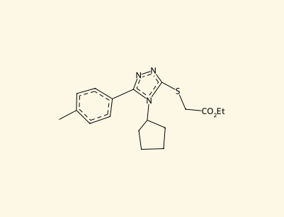 CCOC(=O)CSc1nnc(-c2ccc(C)cc2)n1C1CCCC1